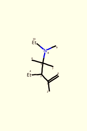 C=C(C)C(CC)C(C)(C)N(C)CC